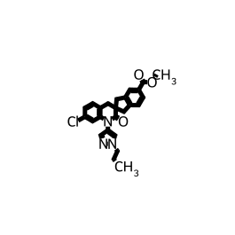 CCCn1cc(N2C(=O)C3(Cc4ccc(C(=O)OC)cc4C3)Cc3ccc(Cl)cc32)cn1